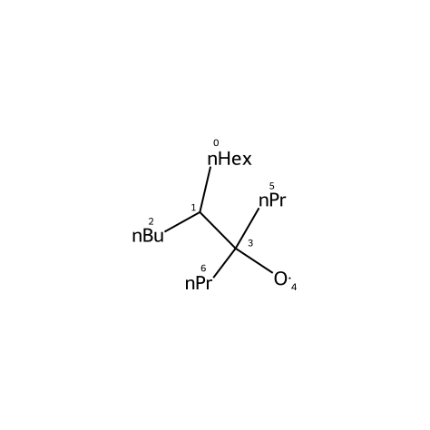 CCCCCCC(CCCC)C([O])(CCC)CCC